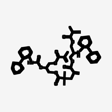 C=C(C)C(=O)OCC(COC(=O)C(=C)CC(C)(C)C(=O)OCC(COC(=O)C(=C)C)OC(=O)Nc1ccccc1-c1ccccc1)Nc1ccccc1-c1ccccc1